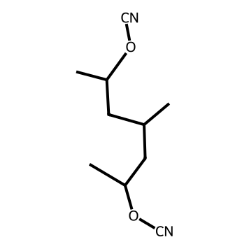 CC(CC(C)OC#N)CC(C)OC#N